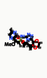 CO[C@H](c1cnc(C)cn1)[C@H](C)S(=O)(=O)Nc1nnc([C@@H]2COCCO2)n1C1(C2CC2)CC1